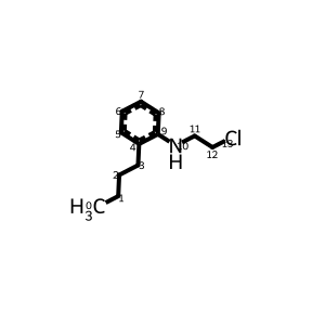 CCCCc1ccccc1NCCCl